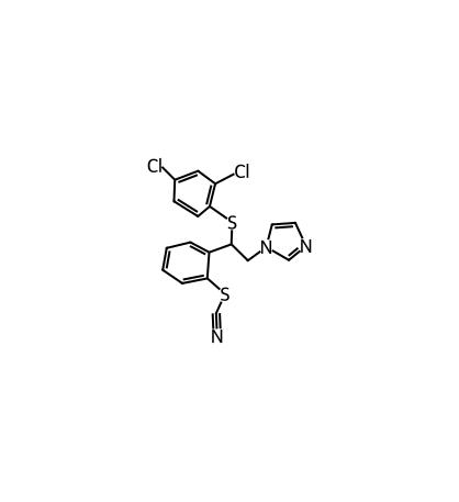 N#CSc1ccccc1C(Cn1ccnc1)Sc1ccc(Cl)cc1Cl